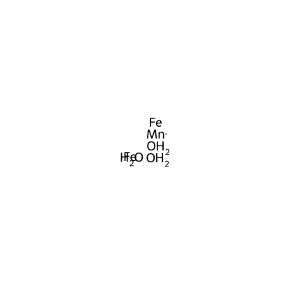 O.O.O.[Fe].[Fe].[Mn]